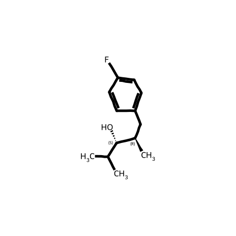 CC(C)[C@H](O)[C@H](C)Cc1ccc(F)cc1